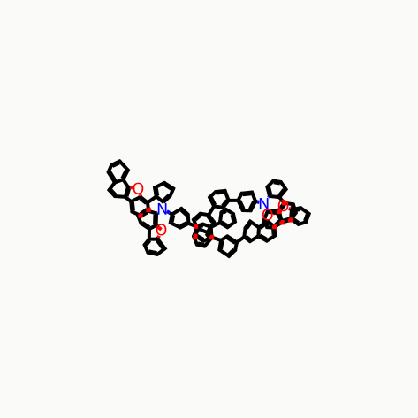 c1ccc(-c2cc(-c3ccc(N(c4ccccc4-c4cccc5c4oc4c6ccccc6ccc54)c4cccc5c4oc4ccccc45)cc3)ccc2-c2cccc(-c3ccc4c(ccc5c6cccc(-c7ccccc7N(c7ccc(-c8cccc(-c9ccc%10ccccc%10c9)c8)cc7)c7cccc8c7oc7ccccc78)c6oc45)c3)c2)cc1